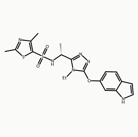 CCn1c(Oc2ccc3cc[nH]c3c2)nnc1[C@@H](C)NS(=O)(=O)c1sc(C)nc1C